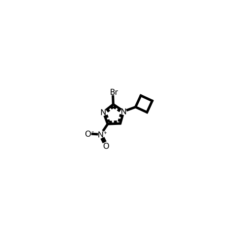 O=[N+]([O-])c1cn(C2CCC2)c(Br)n1